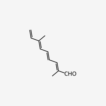 C=C/C(C)=C/C=C/C=C(\C)C=O